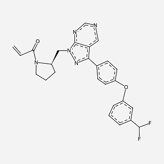 C=CC(=O)N1CCC[C@@H]1Cn1nc(-c2ccc(Oc3cccc(C(F)F)c3)cc2)c2cncnc21